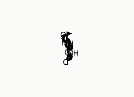 C[C@]12CC[C@H]3[C@@H](CC=C4N(C5CC5)C(=O)CC[C@@]43C)[C@@H]1CC[C@@H]2C(=O)Nc1ccc(Cl)cc1